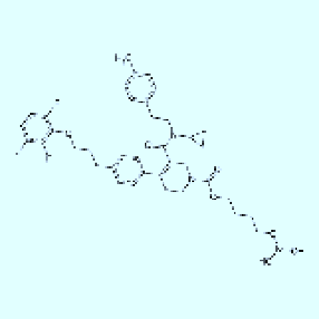 Cc1ccc(CCN(C(=O)C2=C(c3ccc(CCCOc4c(F)ccc(F)c4F)cc3)CCN(C(=O)OCCCCON(O)O)C2)C2CC2)cc1